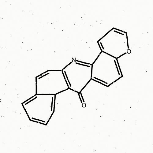 O=c1c2ccc3occcc3c2nc2ccc3ccccc3c12